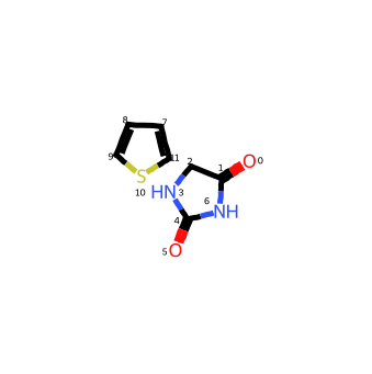 O=C1CNC(=O)N1.c1ccsc1